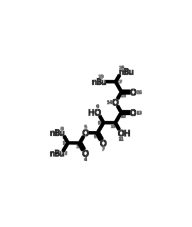 CCCCC(CCCC)C(=O)OC(=O)C(O)C(O)C(=O)OC(=O)C(CCCC)CCCC